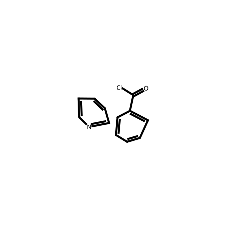 O=C(Cl)c1ccccc1.c1ccncc1